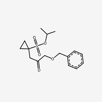 CC(C)OS(=O)(=O)C1(CC(=O)COCc2ccccc2)CC1